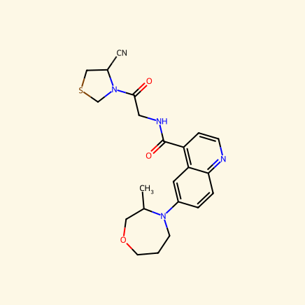 CC1COCCCN1c1ccc2nccc(C(=O)NCC(=O)N3CSCC3C#N)c2c1